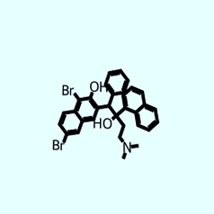 CN(C)CCC(O)(c1cccc2ccccc12)C(c1ccccc1)c1cc2cc(Br)ccc2c(Br)c1O